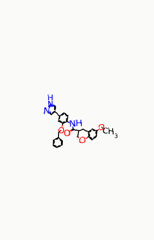 COc1ccc2c(c1)CC(C(=O)Nc1ccc(-c3cn[nH]c3)cc1OCc1ccccc1)CO2